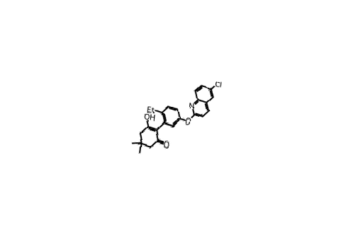 CCc1ccc(Oc2ccc3cc(Cl)ccc3n2)cc1C1=C(O)CC(C)(C)CC1=O